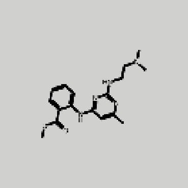 COC(=O)c1ccccc1Nc1cc(C)nc(NCCN(C)C)n1